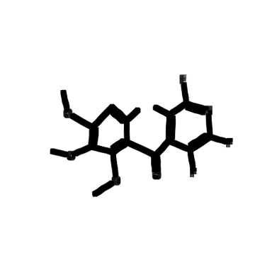 COc1cc(C)c(C(=O)c2c(C)c(F)nc(F)c2F)c(OC)c1OC